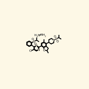 Cc1cc(-c2ncc(Cl)c(-c3ccccc3S(=O)(=O)C(C)C)n2)c2c(c1C1CCN(S(=O)(=O)C(C)C)CC1)CC(C)O2.NN